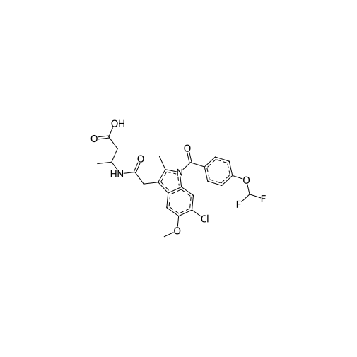 COc1cc2c(CC(=O)NC(C)CC(=O)O)c(C)n(C(=O)c3ccc(OC(F)F)cc3)c2cc1Cl